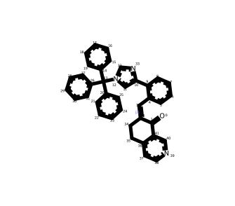 O=C1/C(=C\c2ccccc2-c2cn(C(c3ccccc3)(c3ccccc3)c3ccccc3)cn2)CCc2ccncc21